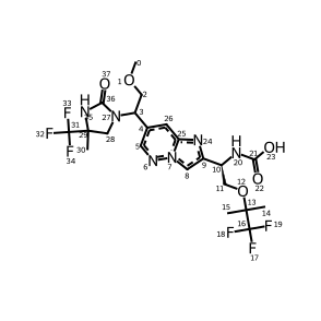 COCC(c1cnn2cc([C@H](COC(C)(C)C(F)(F)F)NC(=O)O)nc2c1)N1CC(C)(C(F)(F)F)NC1=O